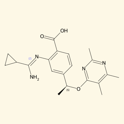 Cc1nc(C)c(C)c(O[C@@H](C)c2ccc(C(=O)O)c(/N=C(\N)C3CC3)c2)n1